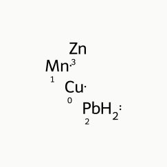 [Cu].[Mn].[PbH2].[Zn]